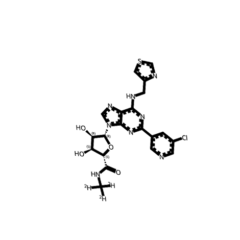 [2H]C([2H])([2H])NC(=O)[C@H]1O[C@@H](n2cnc3c(NCc4cscn4)nc(-c4cncc(Cl)c4)nc32)[C@H](O)[C@@H]1O